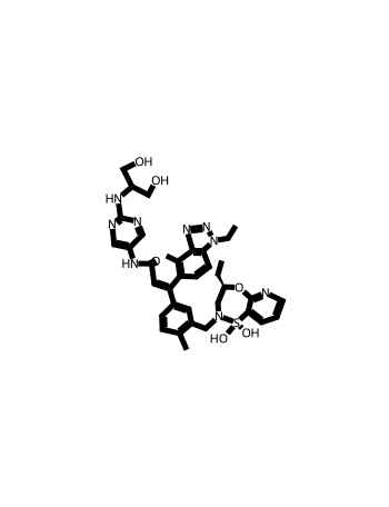 CC[C@@H]1CN(Cc2cc(/C(=C/C(=O)Nc3cnc(NC(CO)CO)nc3)c3ccc4c(nnn4CC)c3C)ccc2C)S(O)(O)c2cccnc2O1